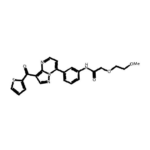 COCCOCC(=O)Nc1cccc(-c2ccnc3c(C(=O)c4cccs4)cnn23)c1